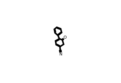 N#CC1=CC=C(c2ccccc2)C(=O)C1